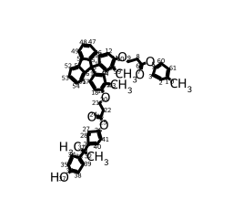 Cc1ccc(OC(=O)CCOc2ccc(C3(c4ccc(OCCC(=O)Oc5ccc(C(C)(C)c6ccc(O)cc6)cc5)c(C)c4)c4ccccc4-c4ccccc43)cc2C)cc1